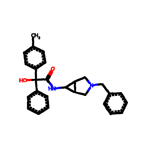 Cc1ccc(C(O)(C(=O)NC2C3CN(Cc4ccccc4)CC32)c2ccccc2)cc1